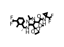 COC(C(=O)NC1(C(F)F)CC1)c1nc(C)nc(N[C@H](C)c2cccc(C(F)F)c2C)c1C1OCCO1